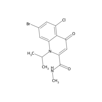 CNC(=O)c1cc(=O)c2c(Cl)cc(Br)cc2n1C(C)C